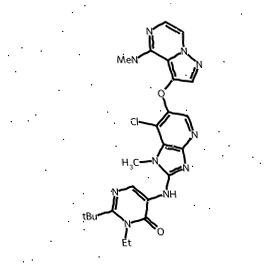 CCn1c(C(C)(C)C)ncc(Nc2nc3ncc(Oc4cnn5ccnc(NC)c45)c(Cl)c3n2C)c1=O